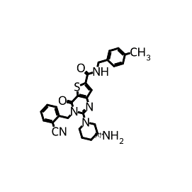 Cc1ccc(CNC(=O)c2cc3nc(N4CCC[C@@H](N)C4)n(Cc4ccccc4C#N)c(=O)c3s2)cc1